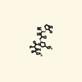 CC(C)[C@H](NC(=O)C(F)(F)F)C(=O)N1C[C@H](C(F)(F)F)C[C@H]1CC(=O)N[C@H](C#N)C[C@@H]1CCNC1=O